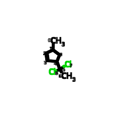 CC1C=CC(C(C)(Cl)Cl)C1